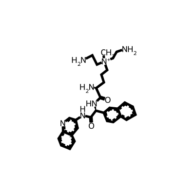 C[N+](CCN)(CCN)CCC[C@H](N)C(=O)N[C@H](C(=O)Nc1cnc2ccccc2c1)c1ccc2ccccc2c1